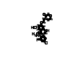 COC1(Nc2ccc(Cl)cc2F)N=CNc2cc(OCCN3CCOCC3=O)ccc21.Cl